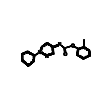 Cc1ccccc1OC(=O)N=c1ccn(-c2ccccc2)nc1